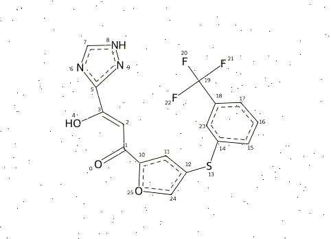 O=C(C=C(O)c1nc[nH]n1)c1cc(Sc2cccc(C(F)(F)F)c2)co1